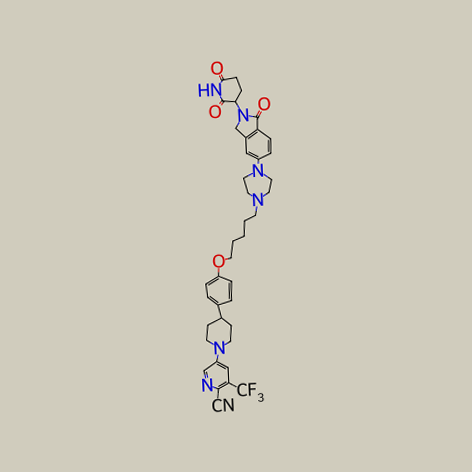 N#Cc1ncc(N2CCC(c3ccc(OCCCCCN4CCN(c5ccc6c(c5)CN(C5CCC(=O)NC5=O)C6=O)CC4)cc3)CC2)cc1C(F)(F)F